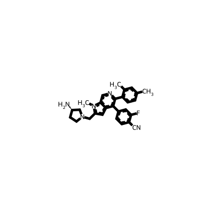 Cc1ccc(-c2ncc3c(cc(CN4CC[C@H](N)C4)n3C)c2-c2ccc(C#N)c(F)c2)c(C)c1